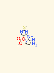 CCOC(=O)Oc1cnc(SC)nc1Nc1ncccc1N